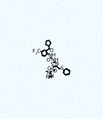 Cn1nnnc1S(=O)(=O)c1sc(NC(=O)Nc2ccc(C(F)(F)F)cc2C(=O)C2CCCC2)nc1CSc1ccccc1